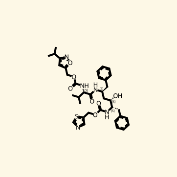 CC(C)c1cc(COC(=O)N[C@H](C(=O)N[C@@H](Cc2ccccc2)C[C@H](O)[C@H](Cc2ccccc2)NC(=O)OCc2cncs2)C(C)C)on1